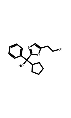 OC(c1ccccc1)(c1ncc(CCBr)o1)C1CCCC1